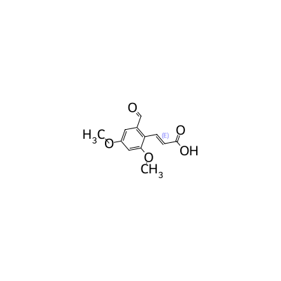 COc1cc(C=O)c(/C=C/C(=O)O)c(OC)c1